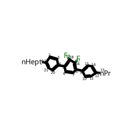 CCCCCCCc1ccc(-c2ccc(-c3ccc(CCC)cc3)c(F)c2F)cc1